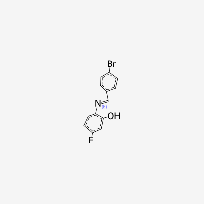 Oc1cc(F)ccc1/N=C/c1ccc(Br)cc1